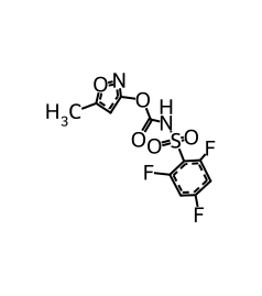 Cc1cc(OC(=O)NS(=O)(=O)c2c(F)cc(F)cc2F)no1